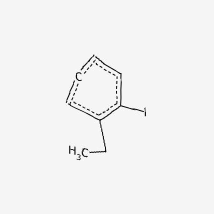 CCc1ccccc1I